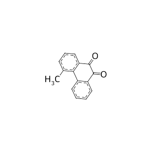 Cc1cccc2c1-c1ccccc1C(=O)C2=O